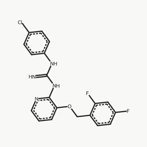 N=C(Nc1ccc(Cl)cc1)Nc1ncccc1OCc1ccc(F)cc1F